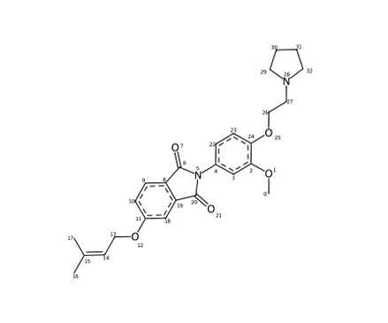 COc1cc(N2C(=O)c3ccc(OCC=C(C)C)cc3C2=O)ccc1OCCN1CCCC1